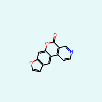 O=c1oc2cc3occc3cc2c2ccncc12